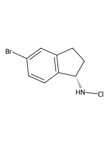 ClN[C@H]1CCc2cc(Br)ccc21